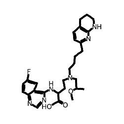 COC(C)CN(CCCCc1ccc2c(n1)NCCC2)CCC(Nc1ncnc2ccc(F)cc12)C(=O)O